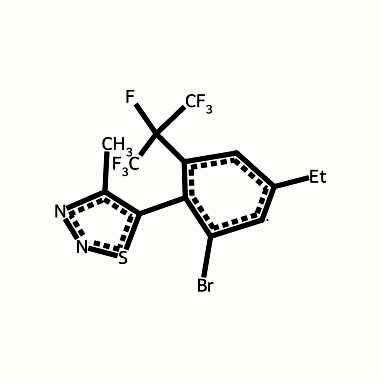 CCc1[c]c(Br)c(-c2snnc2C)c(C(F)(C(F)(F)F)C(F)(F)F)c1